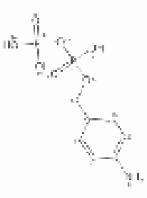 Nc1ccc(COP(=O)(O)OP(=O)(O)O)cc1